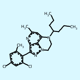 CCCC(CCC)N1CCn2nc(-c3c(C)cc(Cl)cc3Cl)c3nc(C)cc1c32